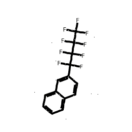 FC(F)(F)C(F)(F)C(F)(F)C(F)(F)c1[c]c2ccccc2cc1